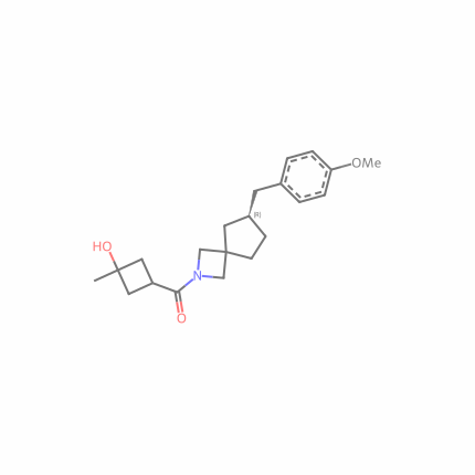 COc1ccc(C[C@H]2CCC3(C2)CN(C(=O)C2CC(C)(O)C2)C3)cc1